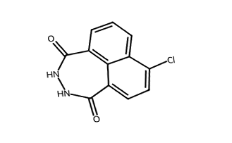 O=C1NNC(=O)c2ccc(Cl)c3cccc1c23